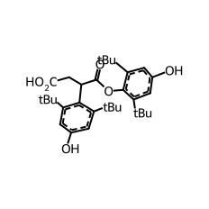 CC(C)(C)c1cc(O)cc(C(C)(C)C)c1OC(=O)C(CC(=O)O)c1c(C(C)(C)C)cc(O)cc1C(C)(C)C